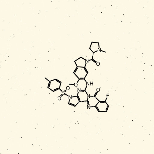 COc1cc2c(cc1Nc1nc3c(ccn3S(=O)(=O)c3ccc(C)cc3)c3nc4cccc(F)c4c(=O)n13)N(C(=O)[C@H]1CCCN1C)CC2